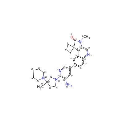 CN1C(=O)C2(CCC2)c2c1cnc1ccc(-c3cnc(N4CCC(C)(N5CCCCC5)C4)c(N)c3)cc21